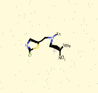 CCN(/C=C(\NC)[N+](=O)[O-])Cc1cnc(Cl)s1